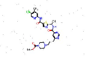 CC(NC(=O)c1cc(CCCN2CCN(C(=O)OC(C)(C)C)CC2)ncn1)c1ncc(C(=O)Nc2cc(C(F)(F)F)c(Cl)cn2)s1